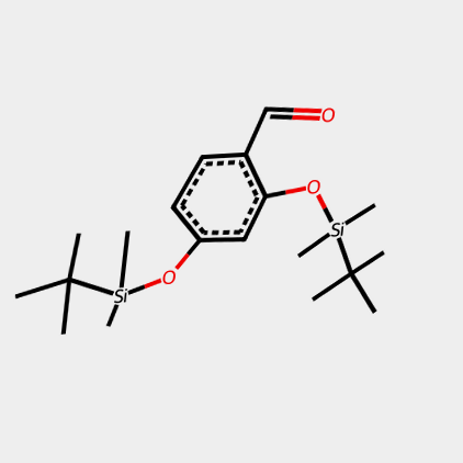 CC(C)(C)[Si](C)(C)Oc1ccc(C=O)c(O[Si](C)(C)C(C)(C)C)c1